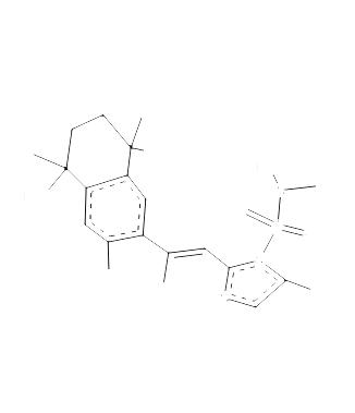 CC(=Cc1ncc(C(=O)O)n1S(=O)(=O)N(C)C)c1cc2c(cc1C)C(C)(C)CCC2(C)C